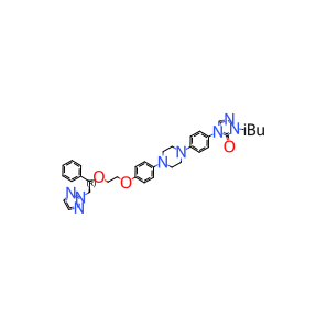 CCC(C)n1ncn(-c2ccc(N3CCN(c4ccc(OCCO[C@@H](Cn5nccn5)c5ccccc5)cc4)CC3)cc2)c1=O